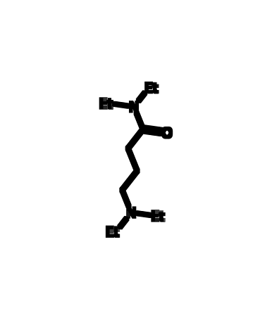 CCN(CC)CCCC(=O)N(CC)CC